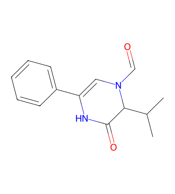 CC(C)C1C(=O)NC(c2ccccc2)=CN1C=O